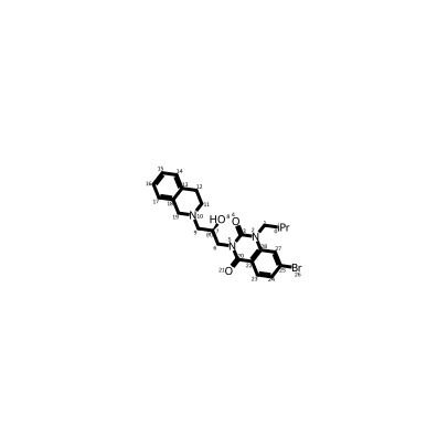 CC(C)Cn1c(=O)n(C[C@H](O)CN2CCc3ccccc3C2)c(=O)c2ccc(Br)cc21